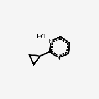 Cl.c1cnc(C2CC2)nc1